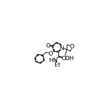 CCNC(=O)c1c(OCc2ccccc2)c(=O)ccn1C1(CO)COC1